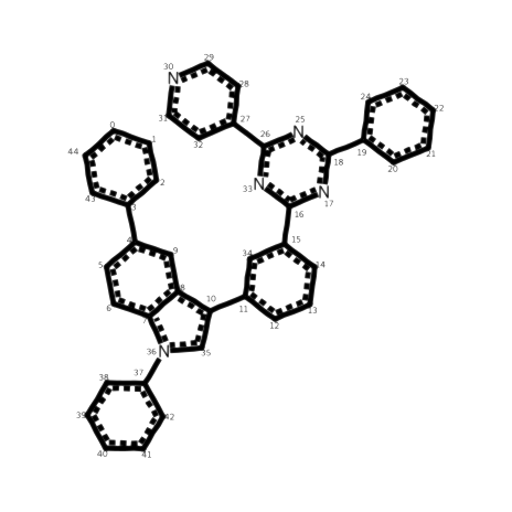 c1ccc(-c2ccc3c(c2)c(-c2cccc(-c4nc(-c5ccccc5)nc(-c5ccncc5)n4)c2)cn3-c2ccccc2)cc1